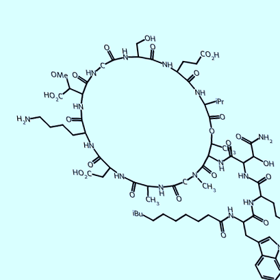 CCC(C)CCCCCCC(=O)NC(Cc1c[nH]c2ccccc12)C(=O)NC(CCC(=O)O)C(=O)NC(C(=O)NC1C(=O)N(C)CC(=O)NC(C)C(=O)NC(CC(=O)O)C(=O)NC(CCCCN)C(=O)NC(C(OC)C(=O)O)C(=O)NCC(=O)NC(CO)C(=O)NC(CCC(=O)O)C(=O)NC(C(C)C)C(=O)OC1C)C(O)C(N)=O